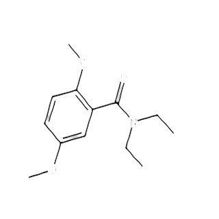 CCN(CC)C(=O)c1cc(OC)ccc1OC